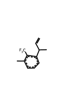 C=C[C](C)c1cccc(C)c1C(F)(F)F